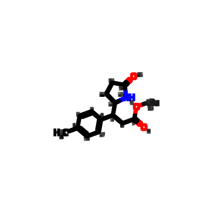 Cc1ccc(C(CC(=O)OC(C)(C)C)C2CCC(=O)N2)cc1